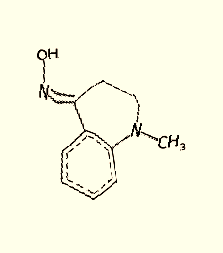 CN1CCC(=NO)c2ccccc21